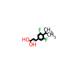 CC(C)c1c(F)cc(/C=C/C(O)O)cc1F